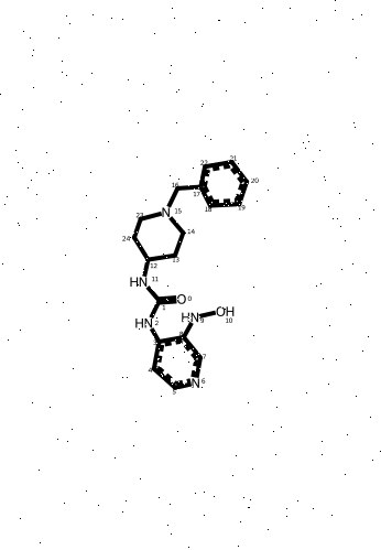 O=C(Nc1ccncc1NO)NC1CCN(Cc2ccccc2)CC1